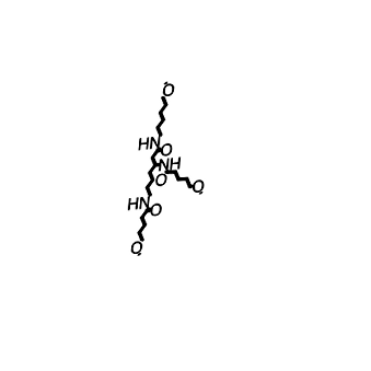 COCCCCCCNC(=O)CC(CCCCNC(=O)CCCCOC)NC(=O)CCCCOC